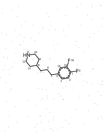 Fc1ccc(CCCC2CCNCC2)cc1F